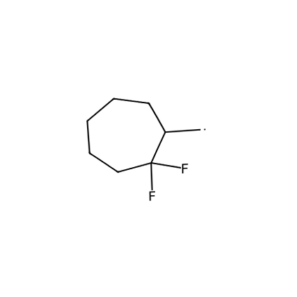 [CH2]C1CCCCCC1(F)F